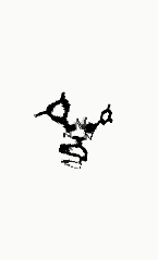 Cc1cc(C)cc(-c2nc(-c3ccc(Cl)cc3)nc(-c3cc(C)cc(C)c3)n2)c1